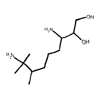 CC(CCCC(N)C(O)CO)C(C)(C)N